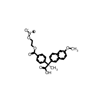 COc1ccc2cc([C@@](C)(C(=O)O)c3ccc(C(=O)OCCO[N+](=O)[O-])cc3)ccc2c1